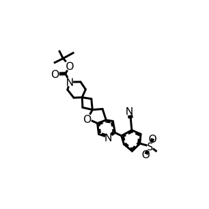 CC(C)(C)OC(=O)N1CCC2(CC1)CC1(Cc3cc(-c4ccc(S(C)(=O)=O)cc4C#N)ncc3O1)C2